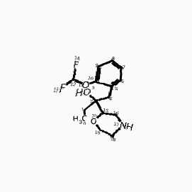 CCC(O)(Cc1ccccc1OC(F)F)C1CNCCO1